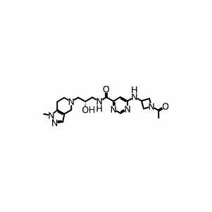 CC(=O)N1CC(Nc2cc(C(=O)NC[C@H](O)CN3CCc4c(cnn4C)C3)ncn2)C1